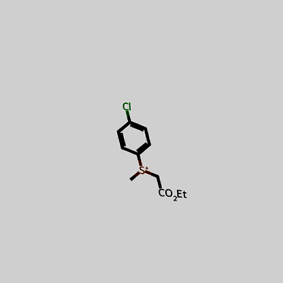 CCOC(=O)C[S+](C)c1ccc(Cl)cc1